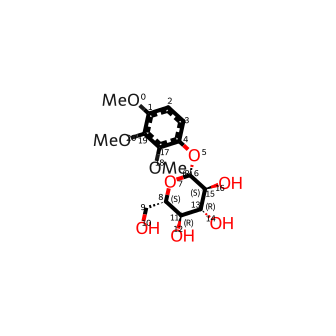 COc1ccc(O[C@H]2O[C@@H](CO)[C@H](O)[C@@H](O)[C@@H]2O)c(OC)c1OC